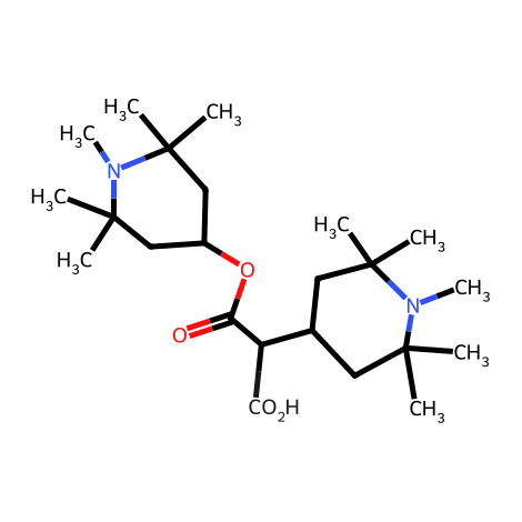 CN1C(C)(C)CC(OC(=O)C(C(=O)O)C2CC(C)(C)N(C)C(C)(C)C2)CC1(C)C